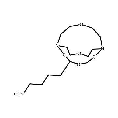 CCCCCCCCCCCCCCC1CN2CCOCCN(CCOCC2)CCO1